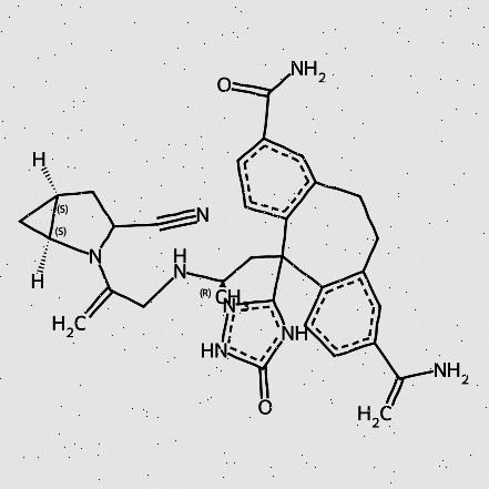 C=C(N)c1ccc2c(c1)CCc1cc(C(N)=O)ccc1C2(C[C@@H](C)NCC(=C)N1C(C#N)C[C@@H]2C[C@@H]21)c1n[nH]c(=O)[nH]1